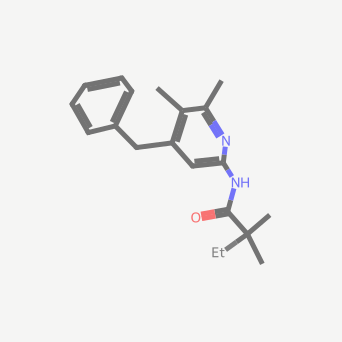 CCC(C)(C)C(=O)Nc1cc(Cc2ccccc2)c(C)c(C)n1